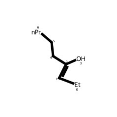 CCC=C(O)CCCCC